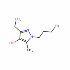 CCCCn1nc(CC)c(O)c1C